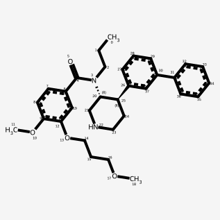 CCCN(C(=O)c1ccc(OC)c(OCCCOC)c1)[C@H]1CNCC[C@@H]1c1cccc(-c2ccccc2)c1